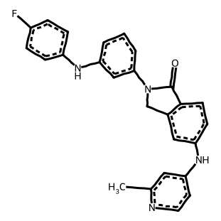 Cc1cc(Nc2ccc3c(c2)CN(c2cccc(Nc4ccc(F)cc4)c2)C3=O)ccn1